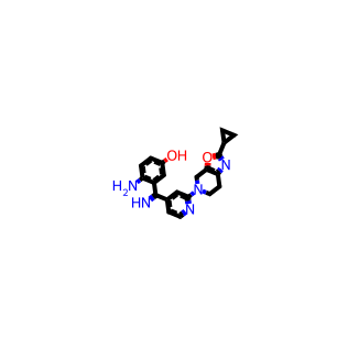 N=C(c1ccnc(N2CCc3nc(C4CC4)oc3C2)c1)c1cc(O)ccc1N